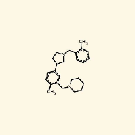 Cc1ccc(C2CCN(Cc3ccccc3C)C2)cc1CN1CCCCC1